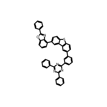 c1ccc(-c2nc(-c3ccccc3)nc(-c3cccc(-c4ccc5sc6ccc(-c7cccc8oc(-c9ccccc9)nc78)cc6c5c4)c3)n2)cc1